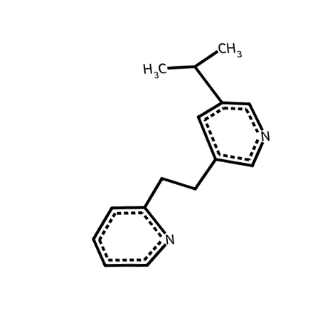 CC(C)c1cncc(CCc2ccccn2)c1